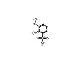 COc1cccc(S(=O)(=O)O)c1N